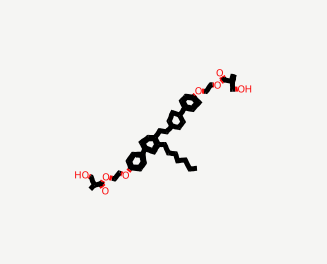 C=C(CO)C(=O)OCCOc1ccc(C2CCC(CCc3ccc(-c4ccc(OCCOC(=O)C(C)CO)cc4)cc3CCCCCCC)CC2)cc1